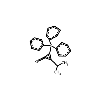 CC(C)c1c(S(c2ccccc2)(c2ccccc2)c2ccccc2)c1=O